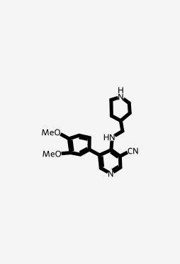 COc1ccc(-c2cncc(C#N)c2NCC2CCNCC2)cc1OC